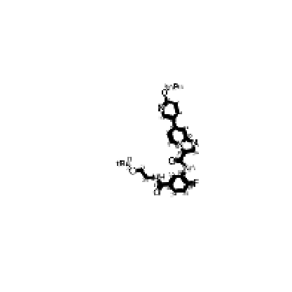 CCCCOc1ccc(-c2ccn3c(C(=O)Nc4cc(C(=O)NCCOC(C)(C)C)ccc4F)cnc3c2)cn1